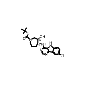 CC(C)(C)OC(=O)N1CCC[C@@H](Nc2ncnc3c2[nH]c2ccc(Cl)cc23)[C@H](O)C1